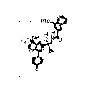 COc1cc(C(=O)NCC(O)(c2cc3c(c(-c4ccc(F)cc4)n2)OCC3(N)C(F)(F)F)C2CC2)cc2cccnc12